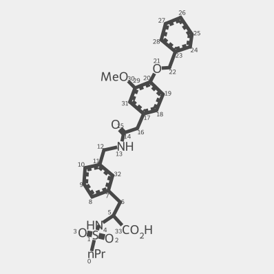 CCCS(=O)(=O)NC(Cc1cccc(CNC(=O)Cc2ccc(OCc3ccccc3)c(OC)c2)c1)C(=O)O